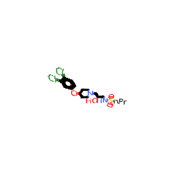 CCCS(=O)(=O)NC[C@@H](O)CN1CCC(Oc2ccc(Cl)c(Cl)c2)CC1